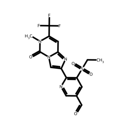 CCS(=O)(=O)c1cc(C=O)cnc1-c1cn2c(=O)n(C)c(C(F)(F)F)cc2n1